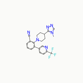 Cn1cnnc1C1CCN(c2c(C#N)cccc2-c2ccc(C(F)(F)F)nc2)CC1